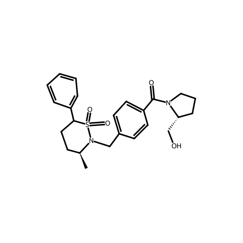 C[C@H]1CCC(c2ccccc2)S(=O)(=O)N1Cc1ccc(C(=O)N2CCC[C@@H]2CO)cc1